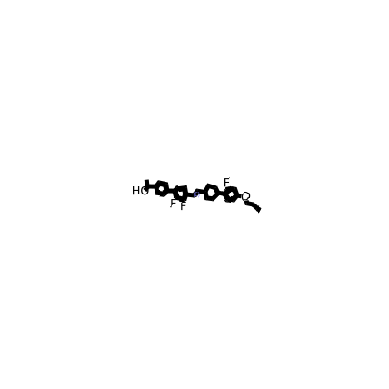 C=CCCOc1ccc(C2CCC(/C=C/c3ccc(-c4ccc(C(C)O)cc4)c(F)c3F)CC2)c(F)c1